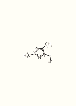 Cc1nn(C)nc1CF